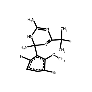 COc1c(Br)ccc(F)c1C1(N)N=C(C(C)(C)F)N=C(N)N1